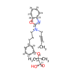 CC#CCN(CCCc1cccc(OC(C)(C)C(=O)O)c1)c1nc2ccccc2o1